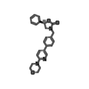 O=C1O[C@H](c2ccccc2)CN1Cc1ccc(-c2ccc(N3CCOCC3)nc2)cc1